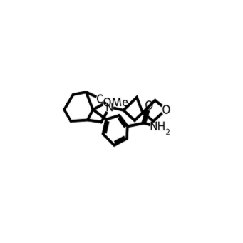 COC1(c2cccc(C(N)=O)c2)C2CCCC1CN(C1CC3(COC3)C1)C2